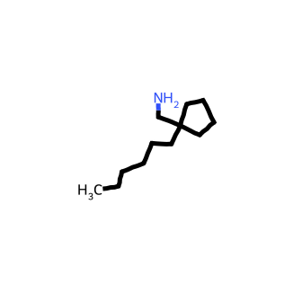 CCCCCCC1(CN)CCCC1